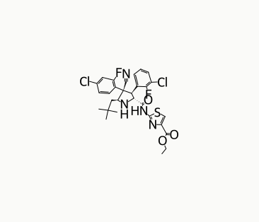 CCOC(=O)c1csc(NC(=O)[C@@H]2N[C@@H](CC(C)(C)C)[C@](C#N)(c3ccc(Cl)cc3F)[C@H]2c2cccc(Cl)c2F)n1